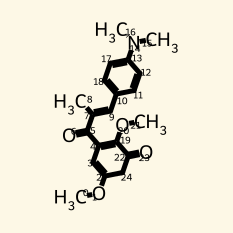 COC1=CC(C(=O)C(C)=Cc2ccc(N(C)C)cc2)=C(OC)C(=O)C1